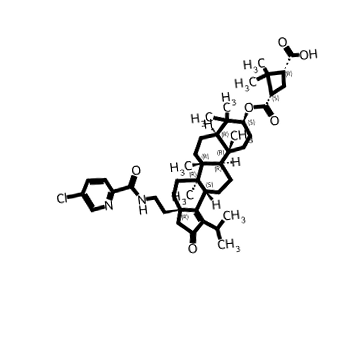 CC(C)C1=C2[C@H]3CC[C@@H]4[C@@]5(C)CC[C@H](OC(=O)[C@H]6C[C@@H](C(=O)O)C6(C)C)C(C)(C)[C@@H]5CC[C@@]4(C)[C@]3(C)CC[C@@]2(CCNC(=O)c2ccc(Cl)cn2)CC1=O